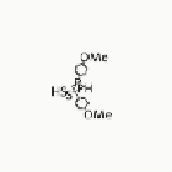 COc1ccc(P2CC(SS)(c3ccc(OC)cc3)P2)cc1